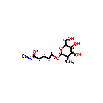 CCNC(=O)CCCCOC1OC(CO)C(O)C(O)C1C